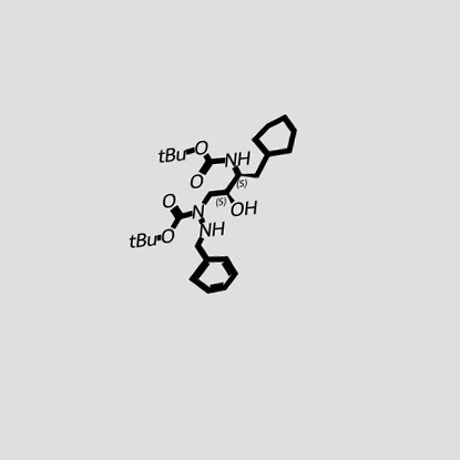 CC(C)(C)OC(=O)N[C@@H](CC1CCCCC1)[C@@H](O)CN(NCc1ccccc1)C(=O)OC(C)(C)C